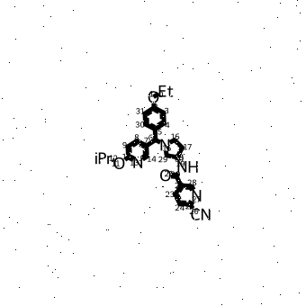 CCOc1ccc(C(c2ccc(OC(C)C)nc2)N2CC[C@@H](NC(=O)c3ccc(C#N)nc3)C2)cc1